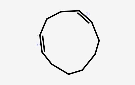 [C]1=C\CCCCC/C=C\CC/1